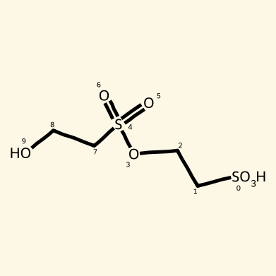 O=S(=O)(O)CCOS(=O)(=O)CCO